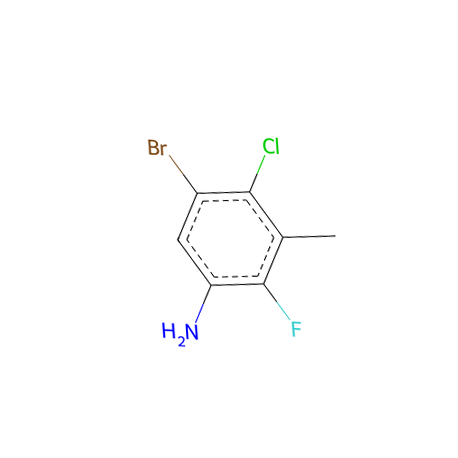 Cc1c(F)c(N)cc(Br)c1Cl